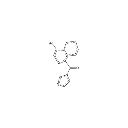 CC(=O)c1ccc(C(=O)n2ccnc2)c2ccccc12